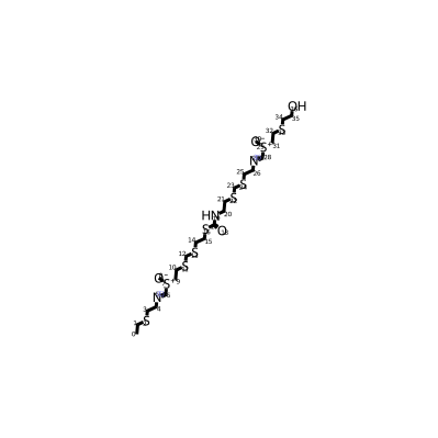 CCSCC/N=C/[S+]([O-])CCSCSCCSC(=O)NCCSCSCC/N=C/[S+]([O-])CCSCCO